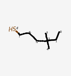 CCC(C)(C)CCCS